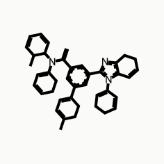 C=C(c1cc(C2=CC=C(C)CC2)cc(-c2nc3c(n2C2=CCCC=C2)C=CCC3)c1)N(C1=CC=CCC1)C1C=CC=CC1C